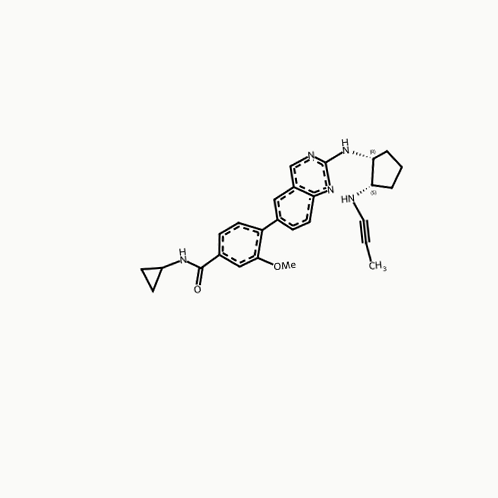 CC#CN[C@H]1CCC[C@H]1Nc1ncc2cc(-c3ccc(C(=O)NC4CC4)cc3OC)ccc2n1